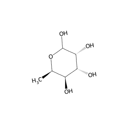 C[C@H]1OC(O)[C@H](O)[C@H](O)[C@H]1O